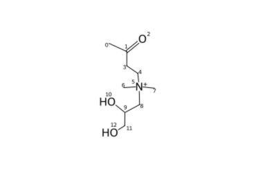 CC(=O)CC[N+](C)(C)CC(O)CO